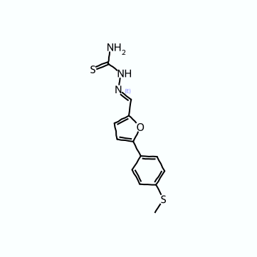 CSc1ccc(-c2ccc(/C=N/NC(N)=S)o2)cc1